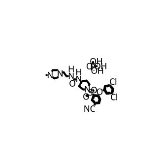 CN1CCN(CCNC(=O)NC2CCN(S(=O)(=O)c3cc(C#N)ccc3Oc3cc(Cl)cc(Cl)c3)CC2)CC1.O=P(O)(O)O